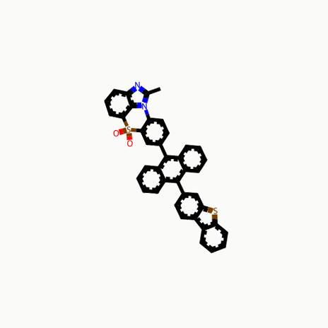 Cc1nc2cccc3c2n1-c1ccc(-c2c4ccccc4c(-c4ccc5c(c4)sc4ccccc45)c4ccccc24)cc1S3(=O)=O